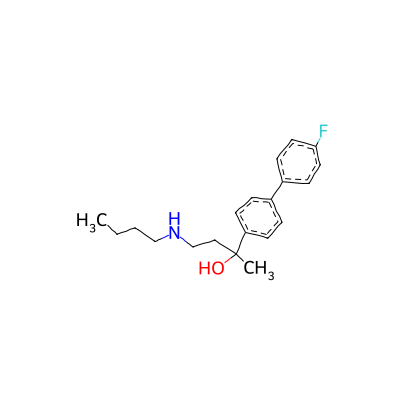 CCCCNCCC(C)(O)c1ccc(-c2ccc(F)cc2)cc1